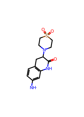 [NH]c1ccc2c(c1)NC(=O)C(N1CCS(=O)(=O)CC1)C2